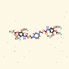 COc1cc(NC(=O)OCCN2CCCN(CCOC(=O)Nc3cc(OC)c(OC(C)=O)c(OC)c3)CC2)cc(OC)c1OC